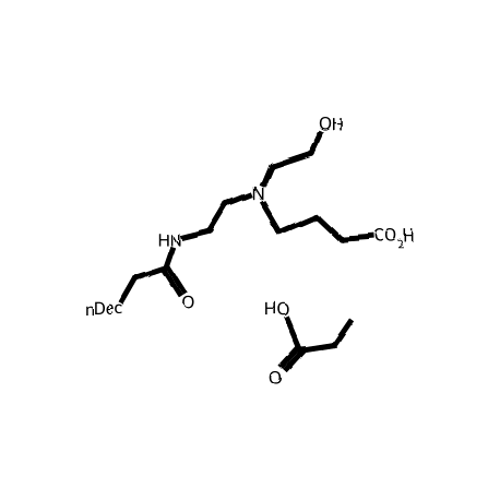 CCC(=O)O.CCCCCCCCCCCC(=O)NCCN(CCO)CCCC(=O)O